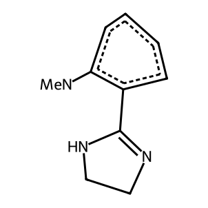 CNc1ccccc1C1=NCCN1